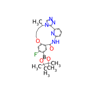 CC1CCCOc2cc(F)c(B3OC(C)(C)C(C)(C)O3)cc2C(=O)Nc2cccc(n2)-c2nncn21